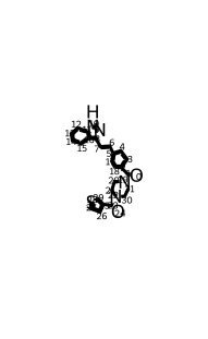 O=C(c1ccc(C=Cc2n[nH]c3ccccc23)cc1)N1CCN(C(=O)c2ccsc2)CC1